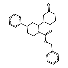 O=C1CCCC(C2CC(c3ccccc3)CCN2C(=O)OCc2ccccc2)C1